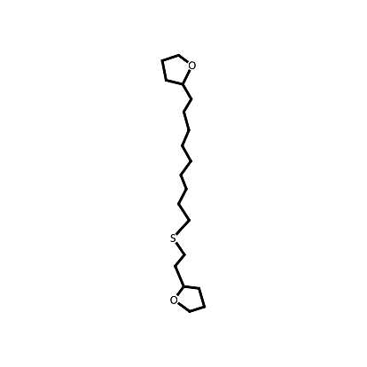 C(CCCCSCCC1CCCO1)CCCCC1CCCO1